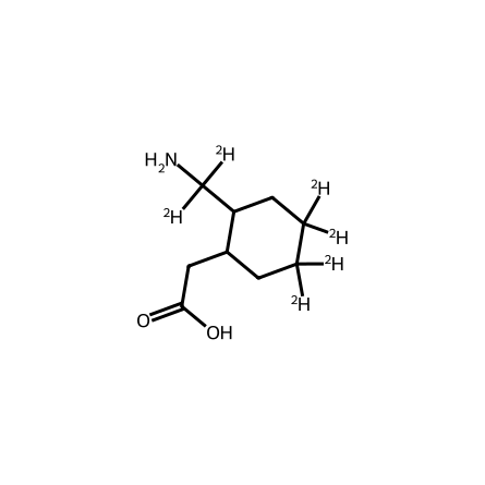 [2H]C([2H])(N)C1CC([2H])([2H])C([2H])([2H])CC1CC(=O)O